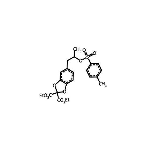 CCOC(=O)C1(C(=O)OCC)Oc2ccc(CC(C)OS(=O)(=O)c3ccc(C)cc3)cc2O1